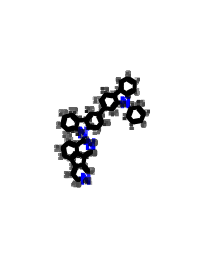 c1ccc(-n2c3ccccc3c3ccc(-c4ccc5c(c4)c4ccccc4n5-c4ncc5c6c(cccc46)-c4ccncc4-5)cc32)cc1